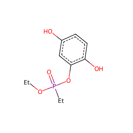 CCOP(=O)(CC)Oc1cc(O)ccc1O